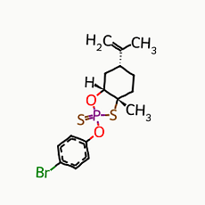 C=C(C)[C@@H]1CC[C@]2(C)SP(=S)(Oc3ccc(Br)cc3)O[C@@H]2C1